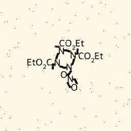 CCOC(=O)C(C)N1CCN(CC(=O)N2CCOCC2)CCN(C(C)C(=O)OCC)CCN(C(C)C(=O)OCC)CC1